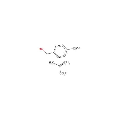 C=C(C)C(=O)O.COc1ccc(CO)cc1